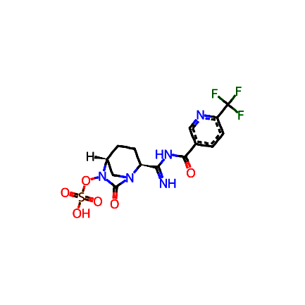 N=C(NC(=O)c1ccc(C(F)(F)F)nc1)[C@@H]1CC[C@@H]2CN1C(=O)N2OS(=O)(=O)O